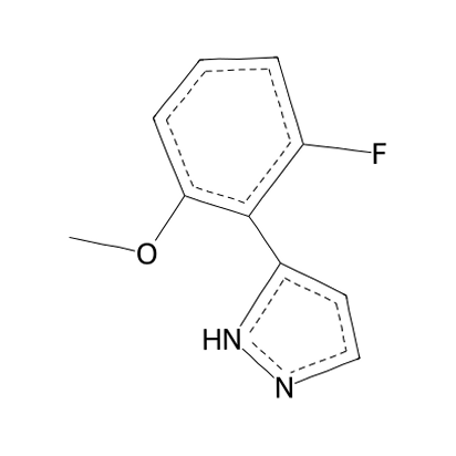 COc1cccc(F)c1-c1ccn[nH]1